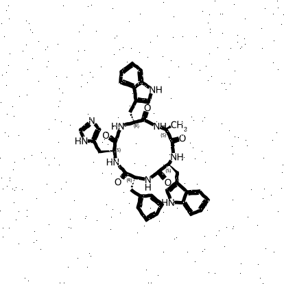 C[C@@H]1NC(=O)[C@@H](Cc2c[nH]c3ccccc23)NC(=O)[C@H](Cc2cnc[nH]2)NC(=O)[C@@H](Cc2ccccc2)NC(=O)[C@H](Cc2c[nH]c3ccccc23)NC1=O